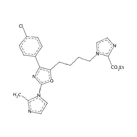 CCOC(=O)c1nccn1CCCCc1oc(-n2ccnc2C)nc1-c1ccc(Cl)cc1